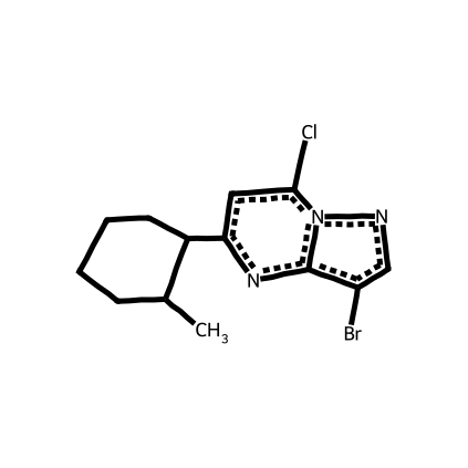 CC1CCCCC1c1cc(Cl)n2ncc(Br)c2n1